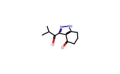 CC(C)C(=O)c1n[nH]c2c1C(=O)CCC2